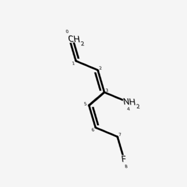 C=C/C=C(N)\C=C/CF